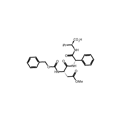 COC(=O)C[C@H](NC(=O)OCc1ccccc1)C(=O)N[C@H](C(=O)N[C@H](C(=O)O)C(C)C)c1ccccc1